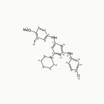 COc1ccc(Nc2cc(N3CCCCC3)nc(Nc3ccc(Cl)cc3)n2)cc1F